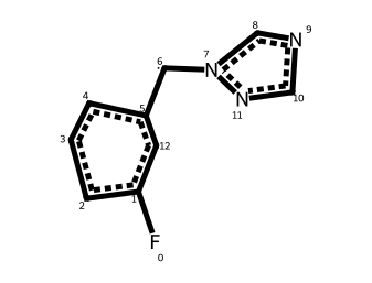 Fc1cccc([CH]n2cncn2)c1